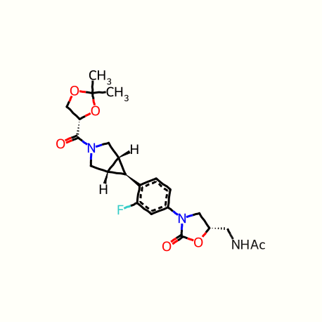 CC(=O)NC[C@H]1CN(c2ccc([C@H]3[C@@H]4CN(C(=O)[C@@H]5COC(C)(C)O5)C[C@@H]43)c(F)c2)C(=O)O1